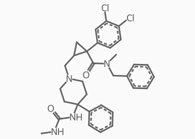 CNC(=O)NC1(c2ccccc2)CCN(CC2CC2(C(=O)N(C)Cc2ccccc2)c2ccc(Cl)c(Cl)c2)CC1